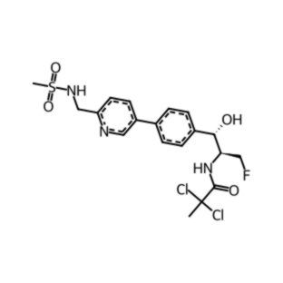 CC(Cl)(Cl)C(=O)N[C@H](CF)[C@@H](O)c1ccc(-c2ccc(CNS(C)(=O)=O)nc2)cc1